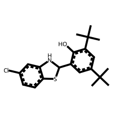 CC(C)(C)c1cc(C2Nc3cc(Cl)ccc3S2)c(O)c(C(C)(C)C)c1